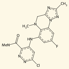 CNC(=O)c1nnc(Cl)cc1Nc1cc(F)cc2c1N(C)Cc1nc(C)nn1-2